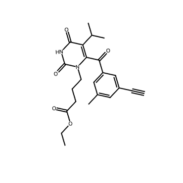 C#Cc1cc(C)cc(C(=O)c2c(C(C)C)c(=O)[nH]c(=O)n2CCCC(=O)OCC)c1